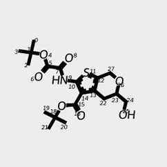 CC(C)(C)OC(=O)C(=O)Nc1sc2c(c1C(=O)OC(C)(C)C)CC(CO)OC2